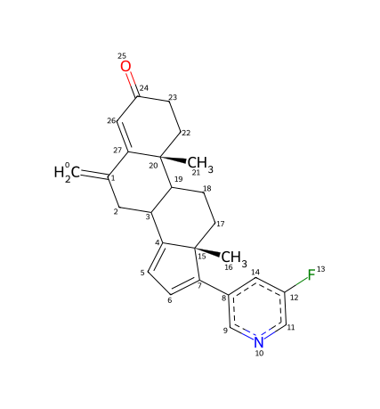 C=C1CC2C3=CC=C(c4cncc(F)c4)[C@@]3(C)CCC2[C@@]2(C)CCC(=O)C=C12